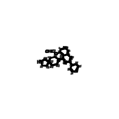 O=COc1cncc2nc(-c3ccncc3)nc(N3CCC4(CCNC4)CC3)c12